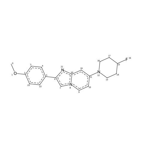 COc1ccc(-c2cn3ccc(N4CCC(F)CC4)cc3n2)cc1